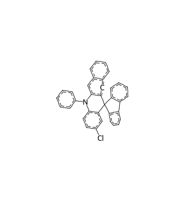 Clc1ccc2c(c1)C1(c3ccccc3-c3ccccc31)c1cc3ccccc3cc1N2c1ccccc1